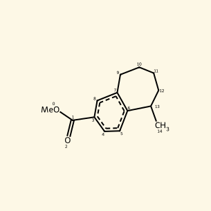 COC(=O)c1ccc2c(c1)CCCCC2C